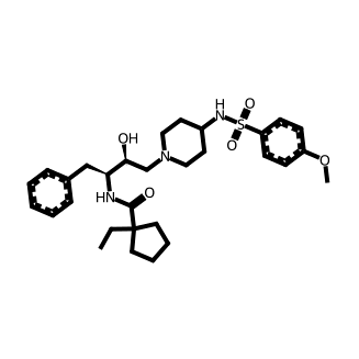 CCC1(C(=O)N[C@@H](Cc2ccccc2)[C@@H](O)CN2CCC(NS(=O)(=O)c3ccc(OC)cc3)CC2)CCCC1